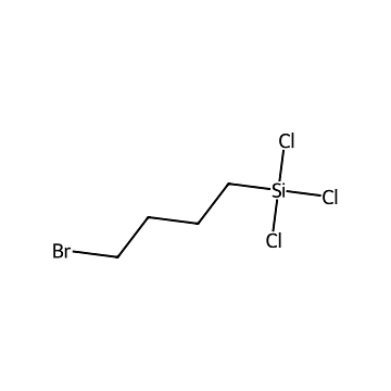 Cl[Si](Cl)(Cl)CCCCBr